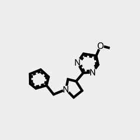 COc1cnc(C2CCN(Cc3ccccc3)C2)nc1